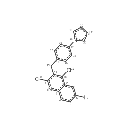 Clc1nc2ccc(I)cc2c(Cl)c1Cc1ccc(-n2ccnc2)cc1